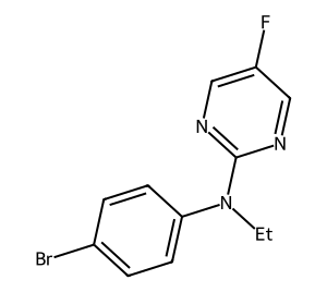 CCN(c1ccc(Br)cc1)c1ncc(F)cn1